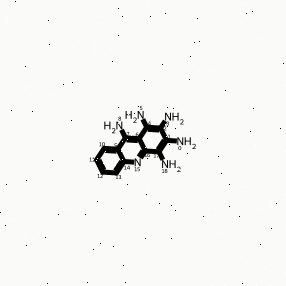 Nc1c(N)c(N)c2c(N)c3ccccc3nc2c1N